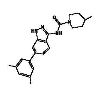 Cc1cc(C)cc(-c2ccc3c(NC(=O)N4CCC(C)CC4)n[nH]c3c2)c1